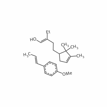 CC=Cc1ccc(OC)cc1.CCC(=CO)CCC1CC=C(C)C1(C)C